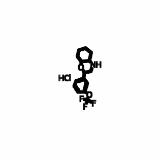 Cl.FC(F)(F)Oc1cccc(C2CNC3CCCCC3O2)c1